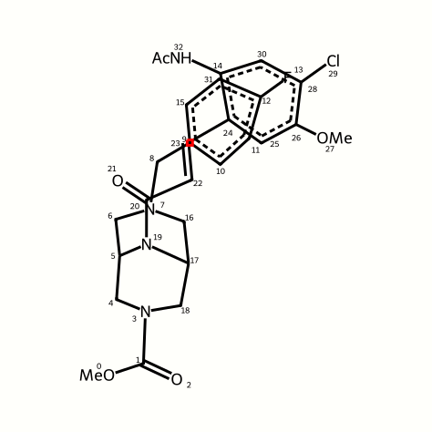 COC(=O)N1CC2CN(Cc3ccc(F)cc3)CC(C1)N2C(=O)C=Cc1cc(OC)c(Cl)cc1NC(C)=O